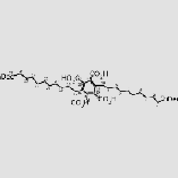 CCCCCCCCCCCCCCCCCCCCc1c(C(=O)O)c(C(=O)O)c(CCCCCCCCCCCCCCCCCCCC)c(C(=O)O)c1C(=O)O